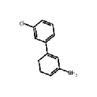 BC1=CCCC(c2cccc(Cl)c2)=C1